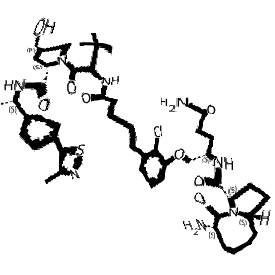 Cc1ncsc1-c1ccc([C@H](C)NC(=O)[C@@H]2C[C@@H](O)CN2C(=O)C(NC(=O)CCCCc2cccc(OC[C@H](CCC(N)=O)NC(=O)[C@@H]3CC[C@@H]4CCCC[C@H](N)C(=O)N43)c2Cl)C(C)(C)C)cc1